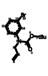 C=CCN(C(=O)OC(C)(C)C)c1cccc(Br)c1